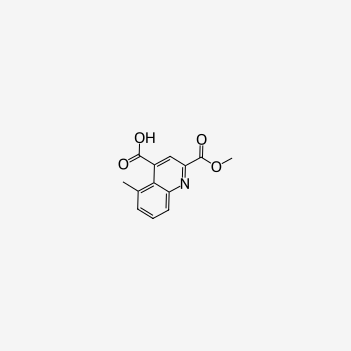 COC(=O)c1cc(C(=O)O)c2c(C)cccc2n1